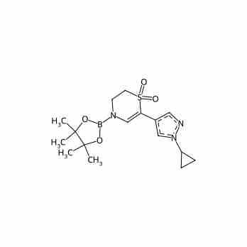 CC1(C)OB(N2C=C(c3cnn(C4CC4)c3)S(=O)(=O)CC2)OC1(C)C